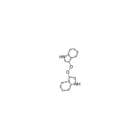 c1ccc2c(OOc3c[nH]c4ccccc34)c[nH]c2c1